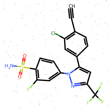 C#Cc1ccc(-c2cc(C(F)(F)F)nn2-c2ccc(S(N)(=O)=O)c(F)c2)cc1Cl